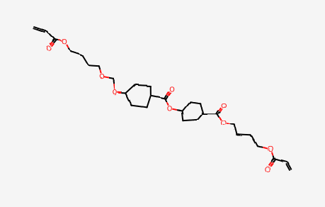 C=CC(=O)OCCCCOCOC1CCC(C(=O)OC2CCC(C(=O)OCCCCOC(=O)C=C)CC2)CC1